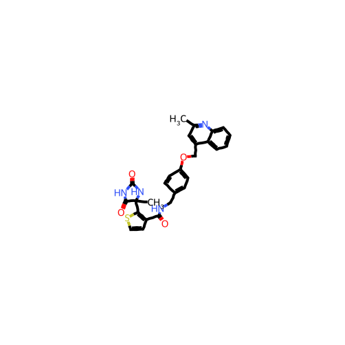 Cc1cc(COc2ccc(CNC(=O)c3ccsc3C3(C)NC(=O)NC3=O)cc2)c2ccccc2n1